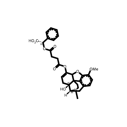 COc1ccc2c3c1OC1C(OC(=O)CCC(=O)O[C@H](C(=O)O)c4ccccc4)=CC[C@@]4(O)[C@@H](C2)N(C)CCC314